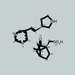 C(=C\[C@H]1CCNC1)/c1cncnc1.CC1(C)C2CC[C@@]1(CS(=O)(=O)O)C(=O)C2